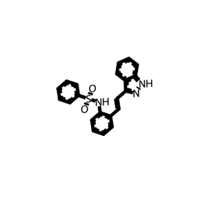 O=S(=O)(Nc1ccccc1C=Cc1n[nH]c2ccccc12)c1ccccc1